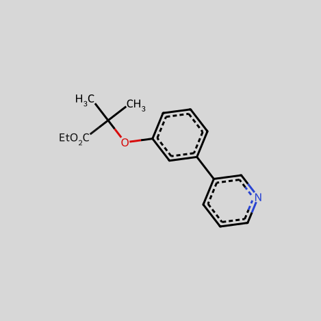 CCOC(=O)C(C)(C)Oc1cccc(-c2cccnc2)c1